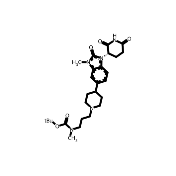 CN(CCCN1CCC(c2ccc3c(c2)n(C)c(=O)n3[C@H]2CCC(=O)NC2=O)CC1)C(=O)OC(C)(C)C